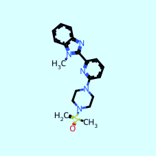 C=S(C)(=O)N1CCN(c2cccc(-c3nc4ccccc4n3C)n2)CC1